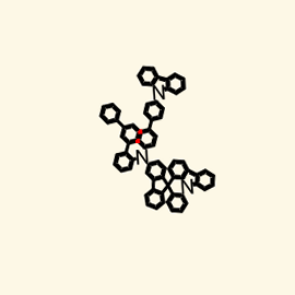 c1ccc(-c2cccc(-c3ccccc3N(c3ccc(-c4ccc(-n5c6ccccc6c6ccccc65)cc4)cc3)c3ccc4c(c3)-c3ccccc3C43c4ccccc4-n4c5ccccc5c5cccc3c54)c2)cc1